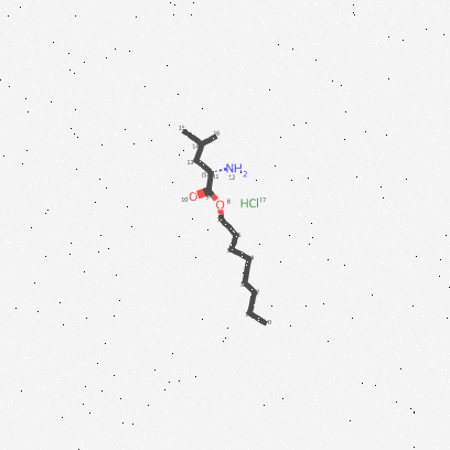 CCCCCCCCOC(=O)[C@@H](N)CC(C)C.Cl